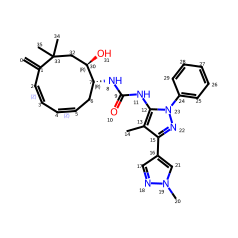 C=C1/C=C\C=C/C[C@@H](NC(=O)Nc2c(C)c(-c3cnn(C)c3)nn2-c2ccccc2)[C@H](O)CC1(C)C